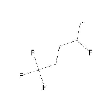 [CH2]C(F)CCC(F)(F)F